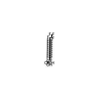 O=P(O)(O)OC(F)C(F)(F)C(F)(F)C(F)(F)C(F)(F)C(F)(F)C(F)(F)C(F)(F)C(F)(F)C(F)(F)C(F)(F)C(F)C(F)C(F)F